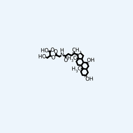 C[C@H](CCC(=O)NCC(=O)OC(CO)C(=O)O)[C@H]1CCC2C3C(CC[C@@]21C)[C@@]1(C)CC[C@@H](O)CC1C[C@H]3O